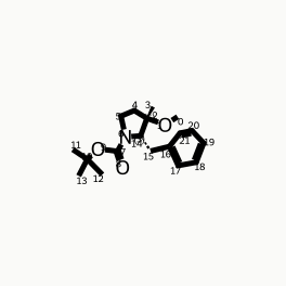 CO[C@@]1(C)CCN(C(=O)OC(C)(C)C)[C@H]1Cc1ccccc1